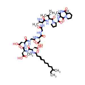 CCC(C)CCCCC/C=C/CC(=O)N[C@@H](CC(=O)O)C(=O)N(C)[C@@H](CC(=O)O)C(=O)N[C@@H](CC(=O)O)C(=O)NCC(=O)N[C@@H](CC(=O)O)C(=O)NCC(=O)N[C@@H](C(=O)N[C@H](C(=O)N1CCC[C@H]1C(=O)NC1C(=O)N2CCCC[C@@H]2C(=O)NC1C)C(C)C)[C@H](C)N